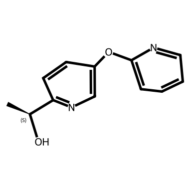 C[C@H](O)c1ccc(Oc2ccccn2)cn1